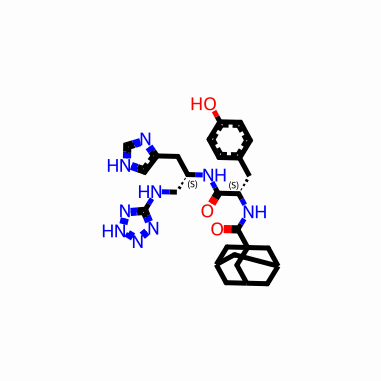 O=C(N[C@H](CNc1nn[nH]n1)Cc1c[nH]cn1)[C@H](Cc1ccc(O)cc1)NC(=O)C12CC3CC(CC(C3)C1)C2